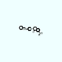 O=C1c2cc([N+](=O)[O-])ccc2CCC1[n+]1ccc(NCC2=CCCC=C2)cc1